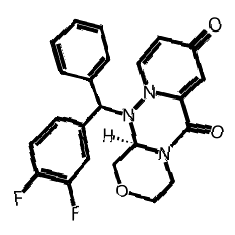 O=C1c2cc(=O)ccn2N(C(c2ccccc2)c2ccc(F)c(F)c2)[C@@H]2COCCN12